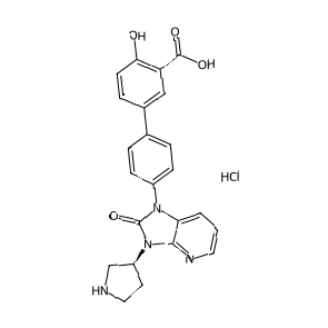 Cl.O=C(O)c1cc(-c2ccc(-n3c(=O)n([C@H]4CCNC4)c4ncccc43)cc2)ccc1O